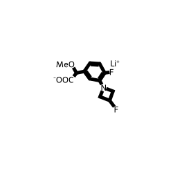 COC(C(=O)[O-])c1ccc(F)c(N2CC(F)C2)c1.[Li+]